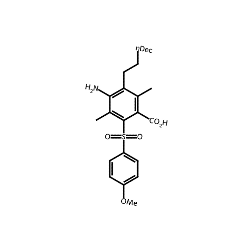 CCCCCCCCCCCCc1c(C)c(C(=O)O)c(S(=O)(=O)c2ccc(OC)cc2)c(C)c1N